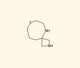 C1CSCCNC2(C1)CNC2